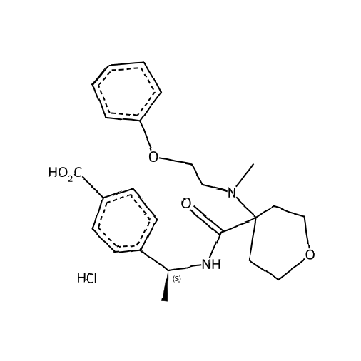 C[C@H](NC(=O)C1(N(C)CCOc2ccccc2)CCOCC1)c1ccc(C(=O)O)cc1.Cl